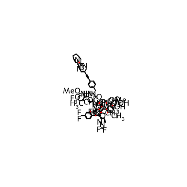 COC(=O)N[C@H](C(=O)N[C@@H](Cc1ccc(C#Cc2cnc(N3CC4CCC(C3)N4C3COC3)nc2)cc1)[C@H](CN(Cc1c(F)cc(-c2ccn(C(F)F)n2)cc1F)NC(=O)[C@@H](NC(=O)OC)C(C)(C)C(F)(F)F)OC(=O)CC(C)(C)c1c(CC(=O)NCc2ccc(C(F)F)cc2)cc(C)cc1OP(=O)(O)O)C(C)(C)C(F)(F)F